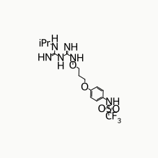 CC(C)NC(=N)NC(=N)NOCCCOc1ccc(NS(=O)(=O)C(F)(F)F)cc1